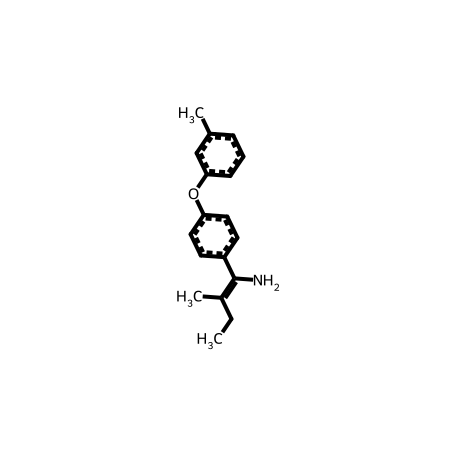 CC/C(C)=C(\N)c1ccc(Oc2cccc(C)c2)cc1